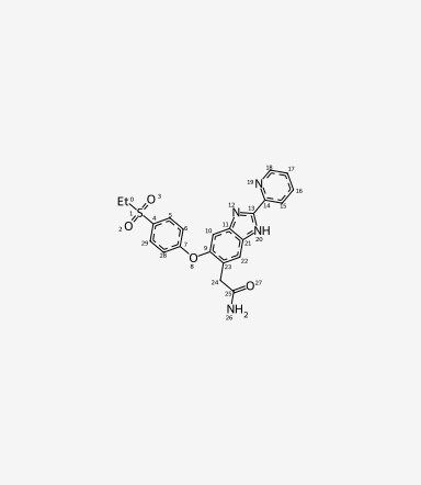 CCS(=O)(=O)c1ccc(Oc2cc3nc(-c4ccccn4)[nH]c3cc2CC(N)=O)cc1